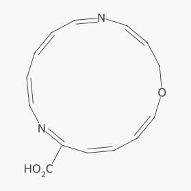 O=C(O)C1=NC=CC=CC=NC=CCOC=CC=C1